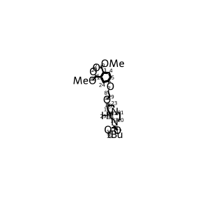 COC(=O)c1ccc(OCCO[C@@H]2C[C@H]3CN(C(=O)OC(C)(C)C)CCN3C2)cc1C(=O)OC